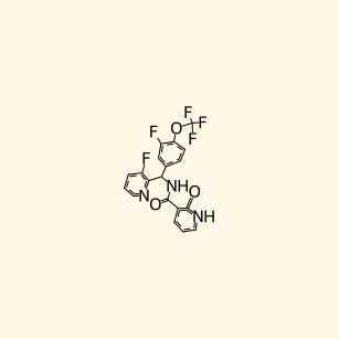 O=C(NC(c1ccc(OC(F)(F)F)c(F)c1)c1ncccc1F)c1ccc[nH]c1=O